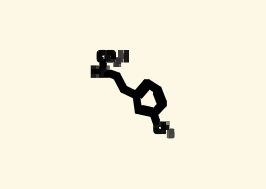 O=C(O)NCCc1cccc(C(F)(F)F)c1